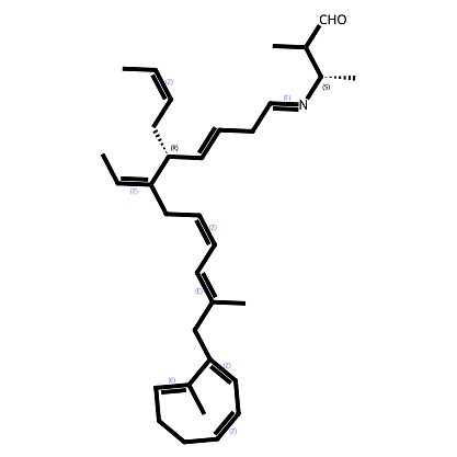 C/C=C\C[C@H](C=CC/C=N/[C@@H](C)C(C)C=O)/C(=C\C)C/C=C\C=C(/C)CC1=C/C=C\CC\C=C\1C